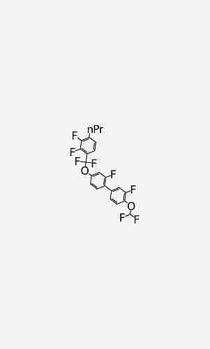 CCCc1ccc(C(F)(F)Oc2ccc(-c3ccc(OC(F)F)c(F)c3)c(F)c2)c(F)c1F